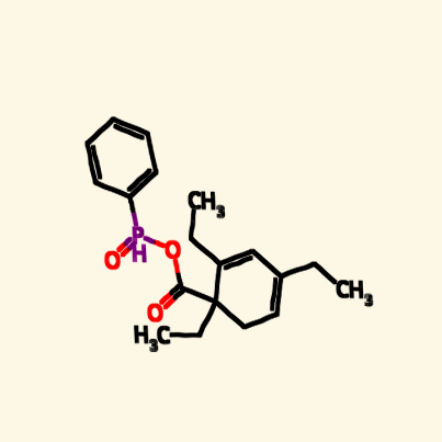 CCC1=CCC(CC)(C(=O)O[PH](=O)c2ccccc2)C(CC)=C1